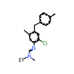 CCN(C)C=Nc1cc(C)c(Cc2ccc(C)cc2)cc1Cl